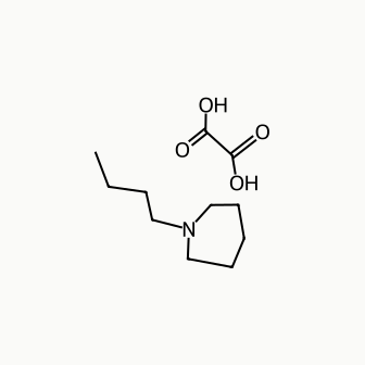 CCCCN1CCCCC1.O=C(O)C(=O)O